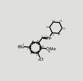 CCc1cc(C(C)(C)C)cc(/C=N/C2CCCCC2)c1OC